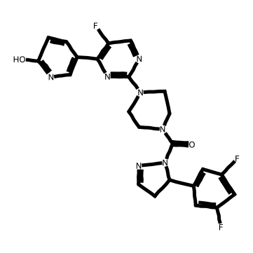 O=C(N1CCN(c2ncc(F)c(-c3ccc(O)nc3)n2)CC1)N1N=CCC1c1cc(F)cc(F)c1